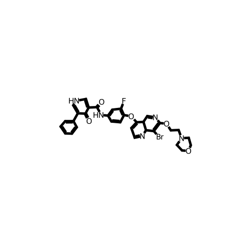 O=C(Nc1ccc(OC2=CC=NC3C(Br)=C(OCCN4CCOCC4)N=CC23)c(F)c1)c1c[nH]cc(-c2ccccc2)c1=O